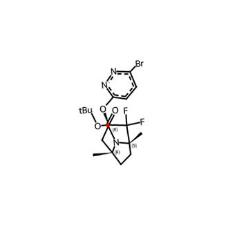 CC(C)(C)OC(=O)N1[C@]2(C)CC[C@@]1(C)C(F)(F)[C@H](Oc1ccc(Br)nn1)C2